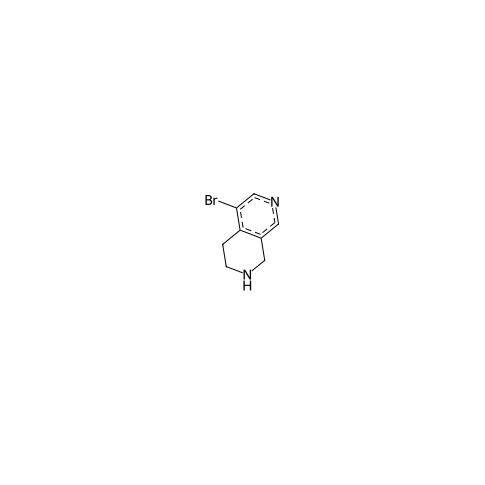 Brc1cncc2c1CCNC2